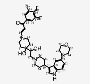 O=C(C=CN1CCC(O)(C(O)CN2CCC(c3c[nH]c4ccc(N5CCOCC5)cc34)CC2)CC1)c1cc(F)c(F)c(F)c1